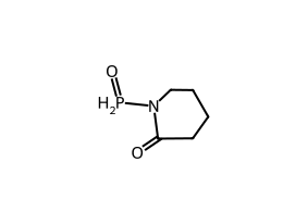 O=[PH2]N1CCCCC1=O